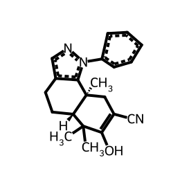 CC1(C)C(O)=C(C#N)C[C@]2(C)c3c(cnn3-c3ccccc3)CC[C@@H]12